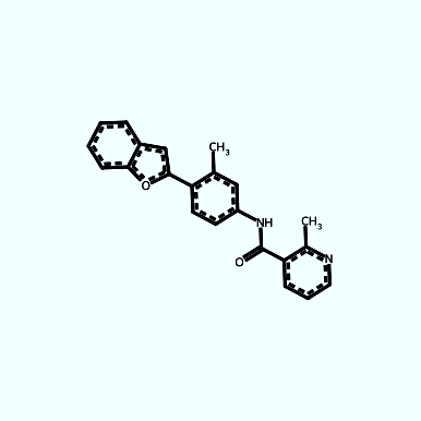 Cc1cc(NC(=O)c2cccnc2C)ccc1-c1cc2ccccc2o1